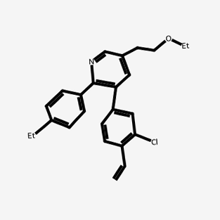 C=Cc1ccc(-c2cc(CCOCC)cnc2-c2ccc(CC)cc2)cc1Cl